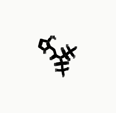 C[n+]1cc[nH]c1CC(=O)N(S(=O)(=O)C(F)(F)F)S(=O)(=O)C(F)(F)F